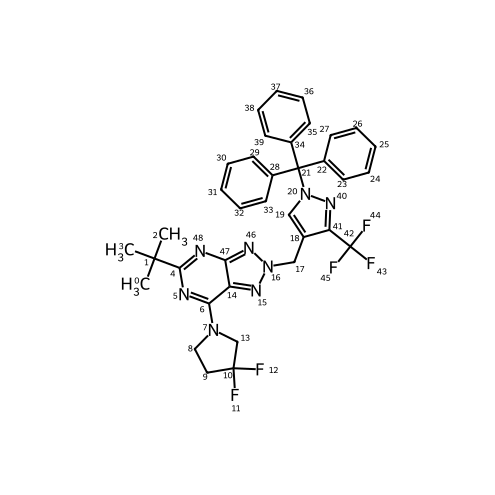 CC(C)(C)c1nc(N2CCC(F)(F)C2)c2nn(Cc3cn(C(c4ccccc4)(c4ccccc4)c4ccccc4)nc3C(F)(F)F)nc2n1